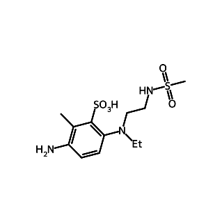 CCN(CCNS(C)(=O)=O)c1ccc(N)c(C)c1S(=O)(=O)O